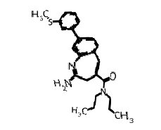 CCCN(CCC)C(=O)C1=Cc2ccc(-c3cccc(SC)c3)cc2N=C(N)C1